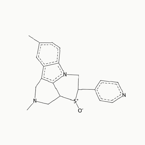 Cc1ccc2c(c1)c1c3n2CC(c2ccncc2)[S+]([O-])C3CN(C)C1